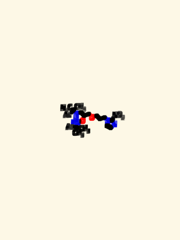 CC(=O)C(C)(C)NCC(COCCCn1ccnc1[N+](=O)[O-])ONC(C)(C)C(C)=O